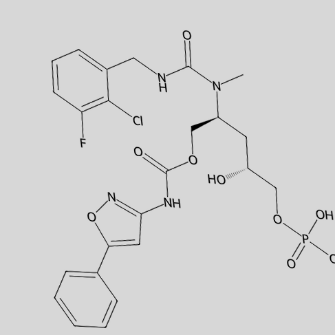 CN(C(=O)NCc1cccc(F)c1Cl)[C@H](COC(=O)Nc1cc(-c2ccccc2)on1)C[C@@H](O)COP(=O)(O)O